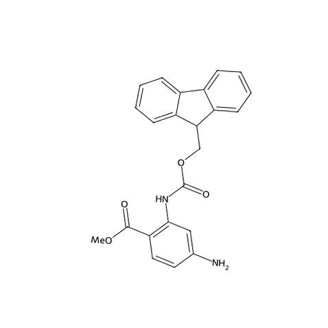 COC(=O)c1ccc(N)cc1NC(=O)OCC1c2ccccc2-c2ccccc21